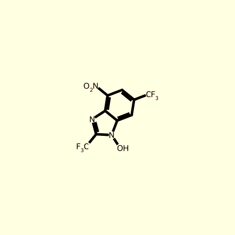 O=[N+]([O-])c1cc(C(F)(F)F)cc2c1nc(C(F)(F)F)n2O